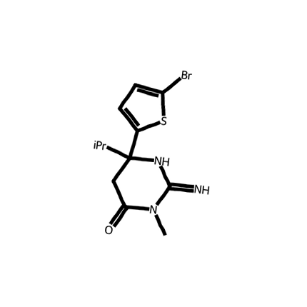 CC(C)C1(c2ccc(Br)s2)CC(=O)N(C)C(=N)N1